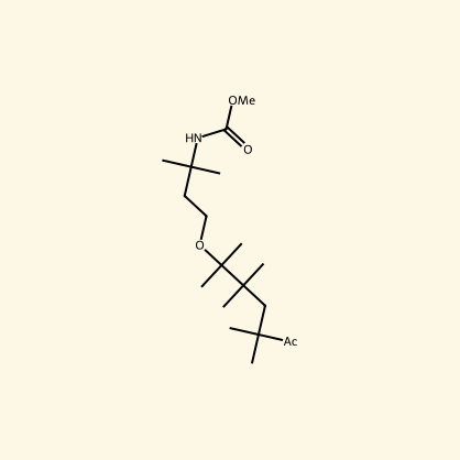 COC(=O)NC(C)(C)CCOC(C)(C)C(C)(C)CC(C)(C)C(C)=O